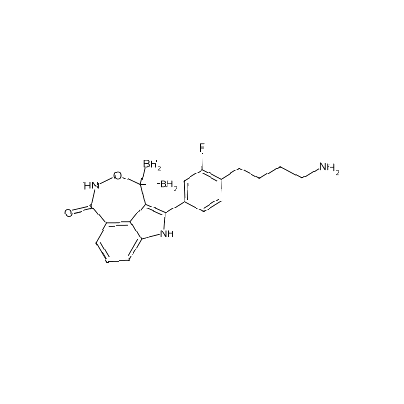 BC1(B)ONC(=O)c2cccc3[nH]c(-c4ccc(CCCCN)c(F)c4)c1c23